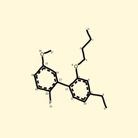 CCCCOc1cc(CC)ccc1-c1cc(OC)ccc1F